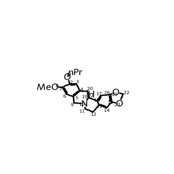 CCCOc1cc2c(cc1OC)CN1CCc3cc4c(cc3[C@@H]1C2)OCO4